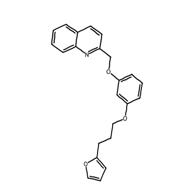 c1cc(OCCCc2ccco2)cc(OCc2ccc3ccccc3n2)c1